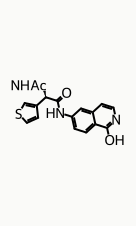 CC(=O)N[C@@H](C(=O)Nc1ccc2c(O)nccc2c1)c1ccsc1